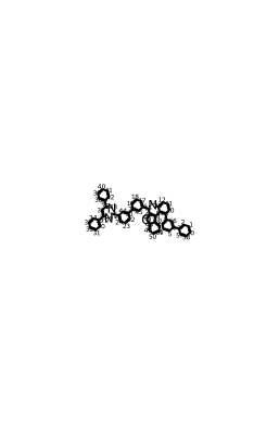 c1ccc(-c2cccc(-c3cccc4nc(-c5cccc(-c6cccc(-c7nc(-c8ccccc8)cc(-c8ccccc8)n7)c6)c5)c5oc6ccccc6c5c34)c2)cc1